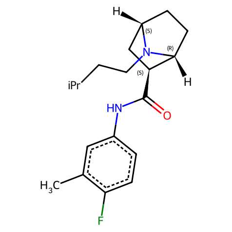 Cc1cc(NC(=O)[C@H]2C[C@@H]3CC[C@H]2N3CCC(C)C)ccc1F